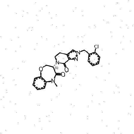 CN1C(=O)[C@@H](N2CCc3cn(Cc4ccccc4Cl)nc3C2=O)COc2ccccc21